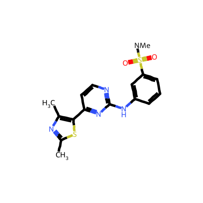 CNS(=O)(=O)c1cccc(Nc2nccc(-c3sc(C)nc3C)n2)c1